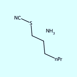 CCCCCCSC#N.N